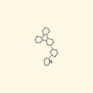 c1ccc(-c2cccc(-c3ccc4c5ccccc5c5ccccc5c4c3)c2)nc1